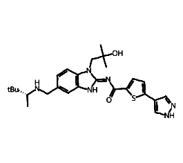 C[C@@H](NCc1ccc2c(c1)[nH]/c(=N\C(=O)c1ccc(-c3cn[nH]c3)s1)n2CC(C)(C)O)C(C)(C)C